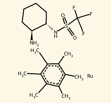 Cc1c(C)c(C)c(C)c(C)c1C.N[C@H]1CCCC[C@@H]1NS(=O)(=O)C(F)(F)F.[Ru]